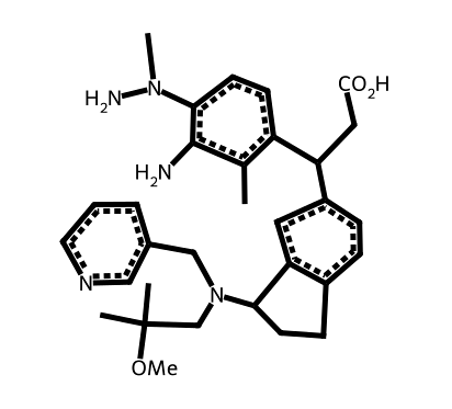 COC(C)(C)CN(Cc1cccnc1)C1CCc2ccc(C(CC(=O)O)c3ccc(N(C)N)c(N)c3C)cc21